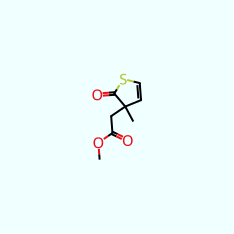 COC(=O)CC1(C)C=CSC1=O